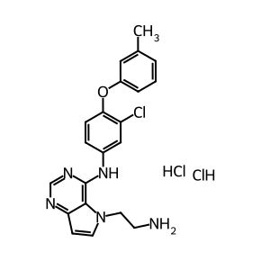 Cc1cccc(Oc2ccc(Nc3ncnc4ccn(CCN)c34)cc2Cl)c1.Cl.Cl